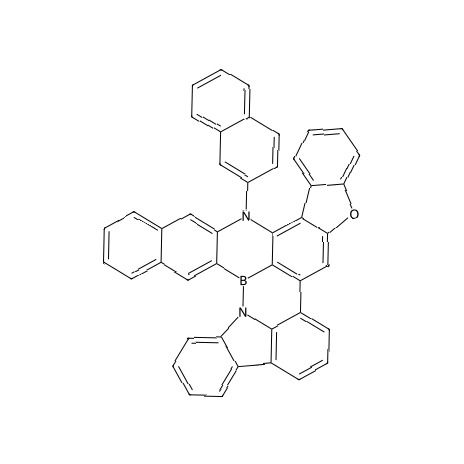 c1ccc2cc(N3c4cc5ccccc5cc4B4c5c(cc6oc7ccccc7c6c53)-c3cccc5c6ccccc6n4c35)ccc2c1